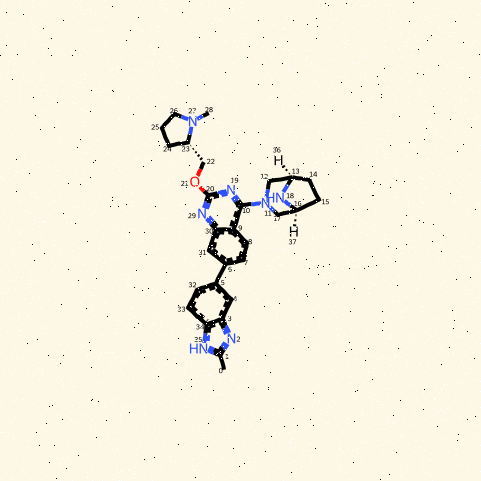 Cc1nc2cc(-c3ccc4c(N5C[C@H]6CC[C@@H](C5)N6)nc(OC[C@@H]5CCCN5C)nc4c3)ccc2[nH]1